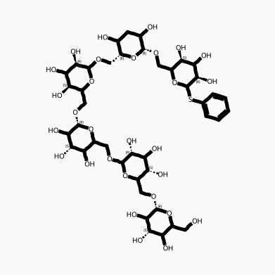 OCC1O[C@@H](OCC2OC(OCC3O[C@@H](OCC4OC(OC[C@H]5O[C@@H](OCC6OC(Sc7ccccc7)[C@H](O)C(O)[C@@H]6O)C(O)CC5O)[C@H](O)C(O)[C@@H]4O)C(O)[C@@H](O)C3O)[C@H](O)C(O)[C@@H]2O)C(O)[C@@H](O)C1O